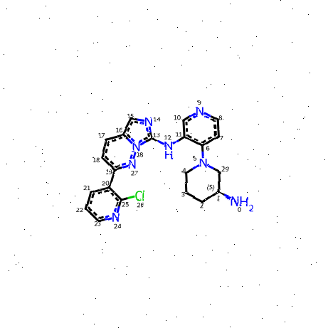 N[C@H]1CCCN(c2ccncc2Nc2ncc3ccc(-c4cccnc4Cl)nn23)C1